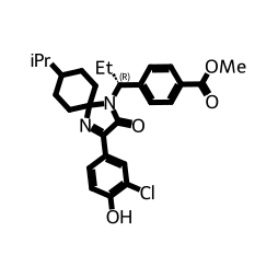 CC[C@H](c1ccc(C(=O)OC)cc1)N1C(=O)C(c2ccc(O)c(Cl)c2)=NC12CCC(C(C)C)CC2